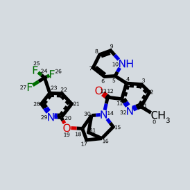 Cc1ccc(C2C=CC=CN2)c(C(=O)N2CC3CC(Oc4ccc(C(F)(F)F)cn4)C2C3)n1